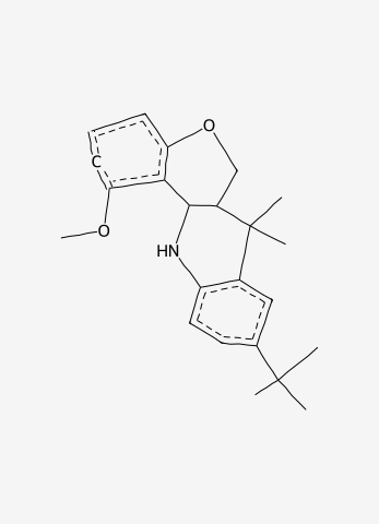 COc1cccc2c1C1Nc3ccc(C(C)(C)C)cc3C(C)(C)C1CO2